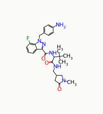 CN1CC(CNC(=O)C(NC(=O)c2nn(Cc3ccc(N)cc3)c3c(F)cccc23)C(C)(C)C)CC1=O